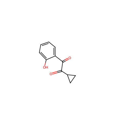 O=C(C(=O)C1CC1)c1ccccc1O